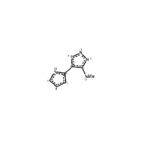 CSc1nnsc1-c1cccs1